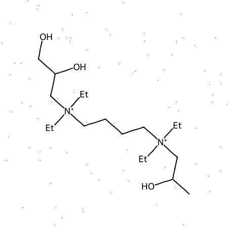 CC[N+](CC)(CCCC[N+](CC)(CC)CC(O)CO)CC(C)O